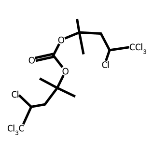 CC(C)(CC(Cl)C(Cl)(Cl)Cl)OC(=O)OC(C)(C)CC(Cl)C(Cl)(Cl)Cl